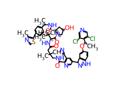 Cc1ncsc1-c1ccc([C@H](C)NC(=O)[C@@H]2C[C@@H](O)CN2C(=O)[C@@H](NC(=O)CC(C)(C)CNC(=O)c2ncc(-c3n[nH]c4ccc(O[C@H](C)c5c(Cl)cncc5Cl)cc34)cc2C#N)C(C)(C)C)cc1